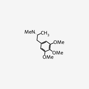 CN[C@H](C)Cc1cc(OC)c(OC)c(OC)c1